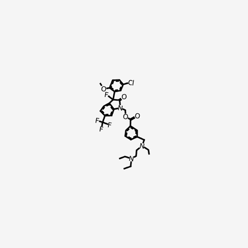 CCN(CC)CCN(CC)Cc1cccc(C(=O)OCN2C(=O)C(F)(c3cc(Cl)ccc3OC)c3ccc(C(F)(F)F)cc32)c1